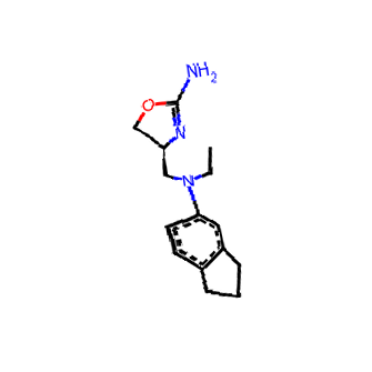 CCN(C[C@H]1COC(N)=N1)c1ccc2c(c1)CCC2